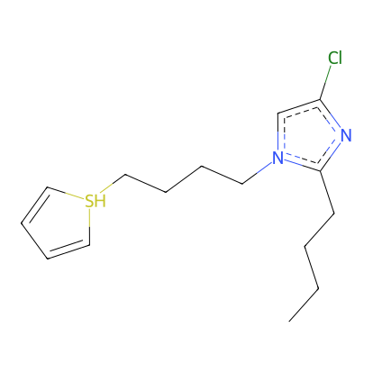 CCCCc1nc(Cl)cn1CCCC[SH]1C=CC=C1